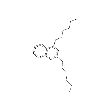 CCCCCCc1cc(CCCCCC)c2ccccc2c1